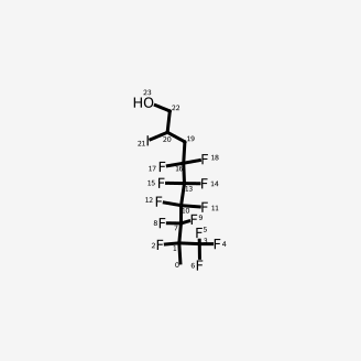 CC(F)(C(F)(F)F)C(F)(F)C(F)(F)C(F)(F)C(F)(F)CC(I)CO